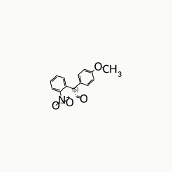 COc1ccc([C@H](C=O)c2ccccc2[N+](=O)[O-])cc1